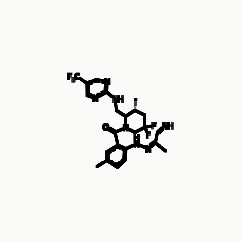 C/C(C=N)=N/Nc1ccc(C)cc1C(=O)N1CC(F)(F)C[C@@H](C)C1CNc1ncc(C(F)(F)F)cn1